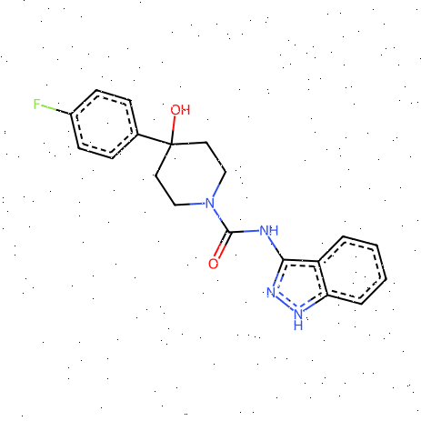 O=C(Nc1n[nH]c2ccccc12)N1CCC(O)(c2ccc(F)cc2)CC1